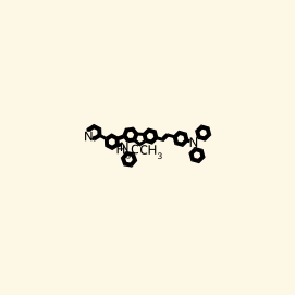 CC1(C)c2cc(/C=C/c3ccc(N(c4ccccc4)c4ccccc4)cc3)ccc2-c2ccc3c4cc(-c5cccnc5)ccc4n(-c4ccccc4)c3c21